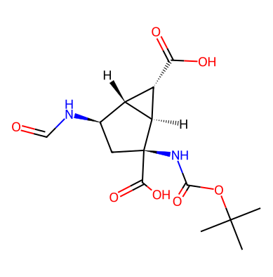 CC(C)(C)OC(=O)N[C@@]1(C(=O)O)C[C@@H](NC=O)[C@@H]2[C@H](C(=O)O)[C@H]21